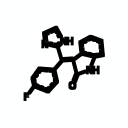 O=C1Nc2ccccc2C1=C(c1ccc(F)cc1)c1ncc[nH]1